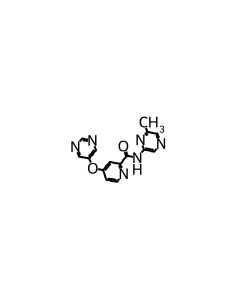 Cc1cncc(NC(=O)c2cc(Oc3cncnc3)ccn2)n1